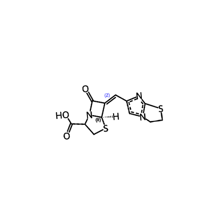 O=C(O)C1CS[C@@H]2/C(=C\c3cn4c(n3)SCC4)C(=O)N12